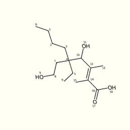 CCCCC(CC)(CCO)C(O)C(C)=C(C)C(=O)O